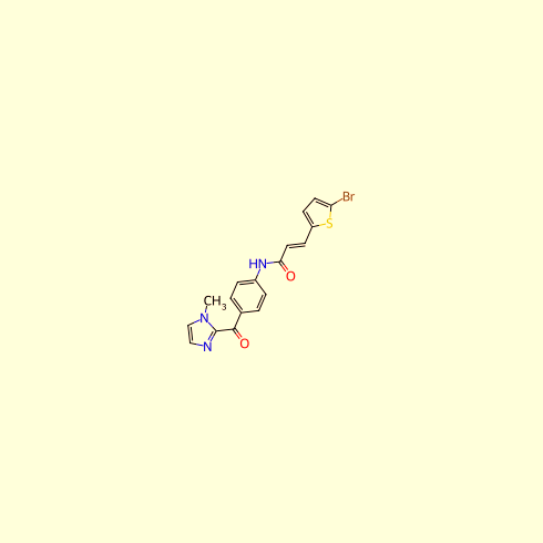 Cn1ccnc1C(=O)c1ccc(NC(=O)/C=C/c2ccc(Br)s2)cc1